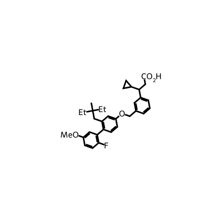 CCC(C)(CC)Cc1cc(OCc2cccc(C(CC(=O)O)C3CC3)c2)ccc1-c1cc(OC)ccc1F